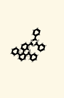 c1ccc(-c2nc(-c3ccccc3)nc(-c3cccc4c3nc(-c3ccccc3)c3cccc(-c5ccccc5)c34)n2)cc1